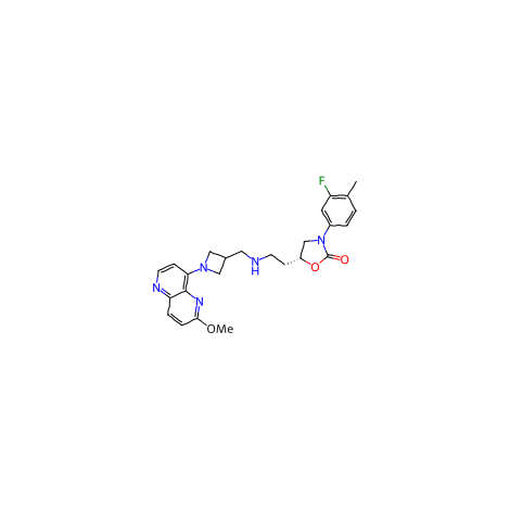 COc1ccc2nccc(N3CC(CNCC[C@@H]4CN(c5ccc(C)c(F)c5)C(=O)O4)C3)c2n1